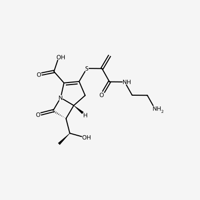 C=C(SC1=C(C(=O)O)N2C(=O)[C@@H]([C@H](C)O)[C@H]2C1)C(=O)NCCN